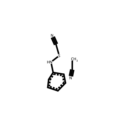 CC#N.N#CSNc1ccccc1